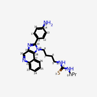 CCCNC(=S)NCCCCn1c(-c2ccc(N)cc2)nc2cnc3ccccc3c21